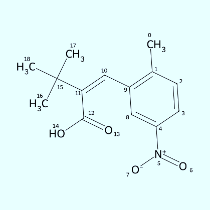 Cc1ccc([N+](=O)[O-])cc1C=C(C(=O)O)C(C)(C)C